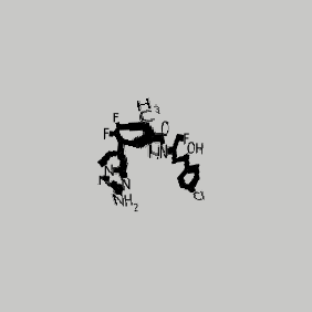 Cc1c(C(=O)NC(CF)CC(O)c2ccc(Cl)cc2)cc(-c2ccn3nc(N)nc3c2)c(F)c1F